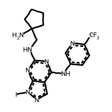 NC1(CNc2nc(Nc3ccc(C(F)(F)F)nc3)c3cnn(I)c3n2)CCCC1